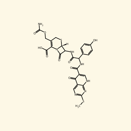 CSc1ncc2c(=O)c(C(=O)NC(C(=O)NC3C(=O)N4C(C(=O)O)=C(COC(N)=O)CS[C@H]34)c3ccc(O)cc3)c[nH]c2n1